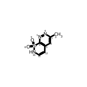 Cc1cc2c(nn1)S(=O)(=O)NC=C2